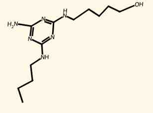 CCCCNc1nc(N)nc(NCCCCCO)n1